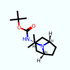 CC(C)N1[C@@H]2CC[C@H]1C[C@@H](NC(=O)OC(C)(C)C)C2